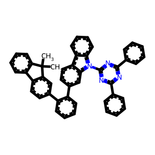 CC1(C)c2ccccc2-c2ccc(-c3ccccc3-c3ccc4c5ccccc5n(-c5nc(-c6ccccc6)nc(-c6ccccc6)n5)c4c3)cc21